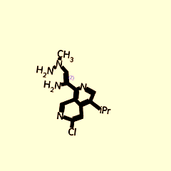 CC(C)c1cnc(/C(N)=C/N(C)N)c2cnc(Cl)cc12